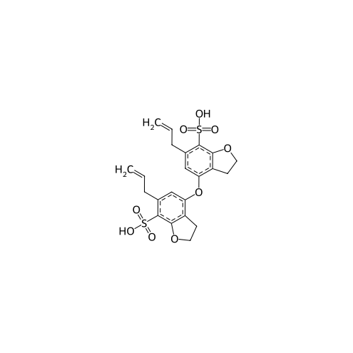 C=CCc1cc(Oc2cc(CC=C)c(S(=O)(=O)O)c3c2CCO3)c2c(c1S(=O)(=O)O)OCC2